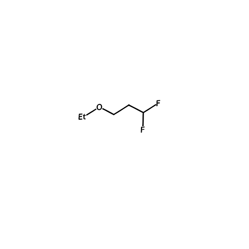 CCOCCC(F)F